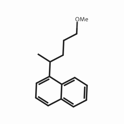 [CH2]OCCCC(C)c1cccc2ccccc12